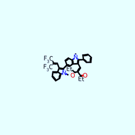 CCC(=O)C(=Cc1c(-c2ccccc2)n(C)c2ccc(-c3c(C=C(C(F)(F)F)C(F)(F)F)c4ccccc4n3C)cc12)C(=O)CC